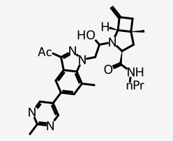 C=C1C[C@]2(C)C[C@@H](C(=O)NCCC)N(C(O)Cn3nc(C(C)=O)c4cc(-c5cnc(C)nc5)cc(C)c43)[C@H]12